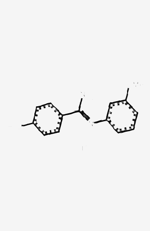 COc1cccc(N=C(N)c2ccc(C)cc2)c1.Cl